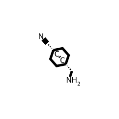 N#C[C@]12CC[C@](CN)(CC1)CC2